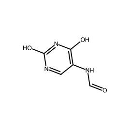 O=CNc1cnc(O)nc1O